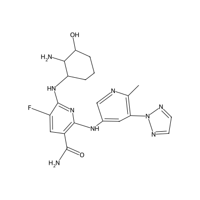 Cc1ncc(Nc2nc(NC3CCCC(O)C3N)c(F)cc2C(N)=O)cc1-n1nccn1